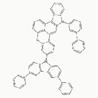 c1ccc(-c2cccc(-n3c4ccccc4c4c5cccc6c5c(cc43)-c3ccc(-n4c5ccc(-c7ccccc7)cc5c5cc(-c7ccccc7)ccc54)cc3S6)c2)cc1